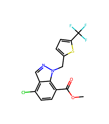 COC(=O)c1ccc(Cl)c2cnn(Cc3ccc(C(F)(F)F)s3)c12